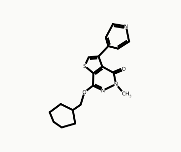 Cn1nc(OCC2CCCCC2)c2scc(-c3ccncc3)c2c1=O